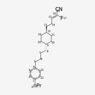 CCCc1ccc(CCCC[C@H]2CC[C@H](CCC=C(F)C#N)CC2)cc1